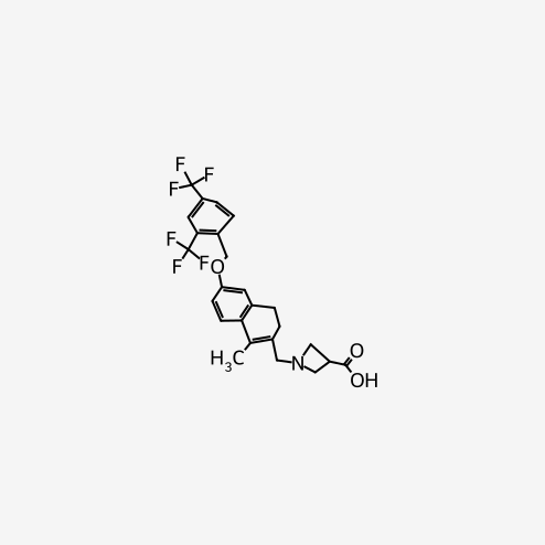 CC1=C(CN2CC(C(=O)O)C2)CCc2cc(OCc3ccc(C(F)(F)F)cc3C(F)(F)F)ccc21